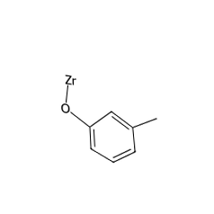 Cc1cccc([O][Zr])c1